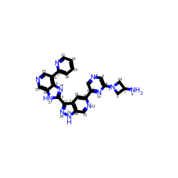 NC1CN(c2cncc(-c3cc4c(-c5nc6c(-c7ccccn7)cncc6[nH]5)n[nH]c4cn3)n2)C1